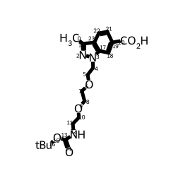 Cc1nn(CCOCCOCCNC(=O)OC(C)(C)C)c2cc(C(=O)O)ccc12